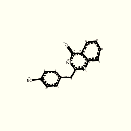 N#Cc1ccc(Cc2nc3ccccc3c(=O)[nH]2)cc1